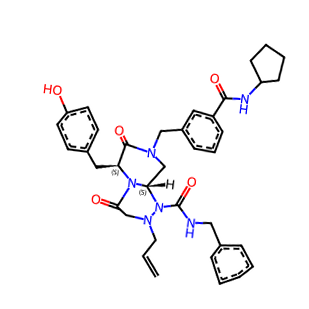 C=CCN1CC(=O)N2[C@@H](Cc3ccc(O)cc3)C(=O)N(Cc3cccc(C(=O)NC4CCCC4)c3)C[C@@H]2N1C(=O)NCc1ccccc1